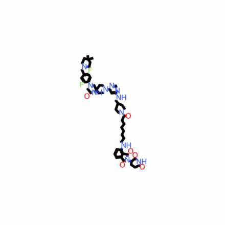 CC1(C)CCN(Cc2cc(F)c(N3CC(=O)NC4(CCN(c5cc(NCC6CCN(C(=O)CCCCCCCNc7cccc8c7C(=O)N(C7CCC(=O)NC7=O)C8=O)CC6)ncn5)CC4)C3)cc2F)CC1